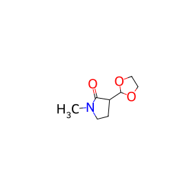 CN1CCC(C2OCCO2)C1=O